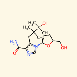 CC(C)(Cc1c(C(N)=O)ncn1[C@H]1CC[C@@H](CO)O1)[Si](C)(C)O